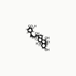 CC[C@H]1[C@@H](O)C2C3CC[C@H]([C@H](C)CC4CC4c4ccc(C(=O)O)cc4)[C@@]3(C)CCC2[C@@]2(C)CC[C@@H](O)C[C@@H]12